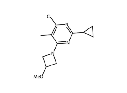 COC1CN(c2nc(C3CC3)nc(Cl)c2C)C1